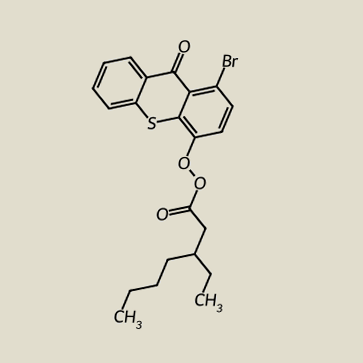 CCCCC(CC)CC(=O)OOc1ccc(Br)c2c(=O)c3ccccc3sc12